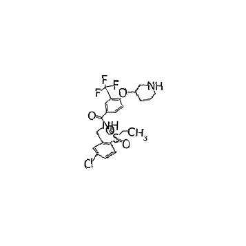 CCS(=O)(=O)c1ccc(Cl)cc1CNC(=O)c1ccc(OC2CCCNC2)c(C(F)(F)F)c1